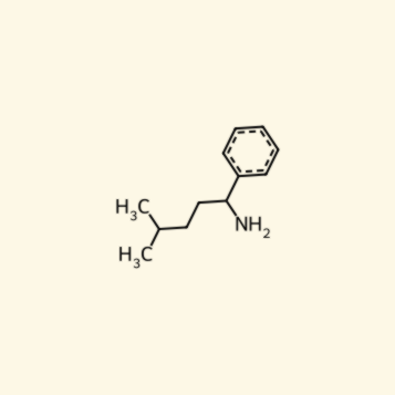 CC(C)CCC(N)c1ccccc1